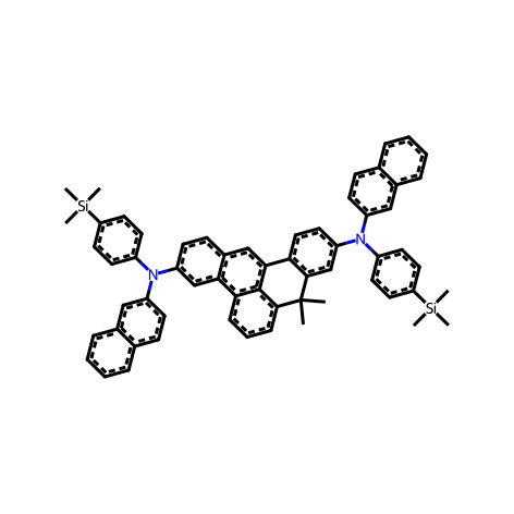 CC1(C)c2cc(N(c3ccc([Si](C)(C)C)cc3)c3ccc4ccccc4c3)ccc2-c2cc3ccc(N(c4ccc([Si](C)(C)C)cc4)c4ccc5ccccc5c4)cc3c3cccc1c23